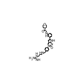 N=C(N)NCCCNCc1ccc(-n2cc3cc(-c4cccc(NCC(=O)N5CCOCC5)c4)[nH]c3nc2=O)cc1